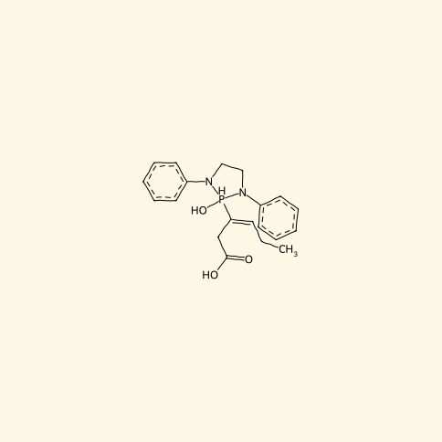 CCC=C(CC(=O)O)[PH]1(O)N(c2ccccc2)CCN1c1ccccc1